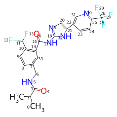 CC(C)C(=O)NCc1ccc(C(F)F)c(C(=O)Nc2ncc(-c3ccc(C(F)(F)F)nc3)[nH]2)c1